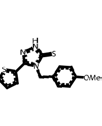 COc1ccc(Cn2c(-c3cccs3)n[nH]c2=S)cc1